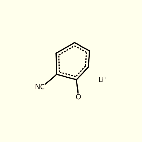 N#Cc1ccccc1[O-].[Li+]